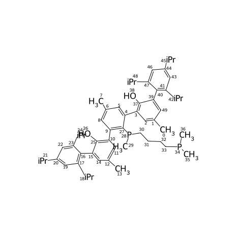 Cc1cc(-c2cc(C)cc(-c3cc(C)cc(-c4c(C(C)C)cc(C(C)C)cc4C(C)C)c3O)c2P(C)CCCCP(C)C)c(O)c(-c2c(C(C)C)cc(C(C)C)cc2C(C)C)c1